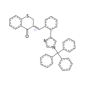 O=C1/C(=C/c2ccccc2-c2cn(C(c3ccccc3)(c3ccccc3)c3ccccc3)cn2)CSc2ccccc21